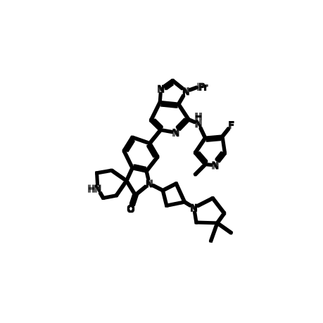 Cc1cc(Nc2nc(-c3ccc4c(c3)N(C3CC(N5CCC(C)(C)C5)C3)C(=O)C43CCNCC3)cc3ncn(C(C)C)c23)c(F)cn1